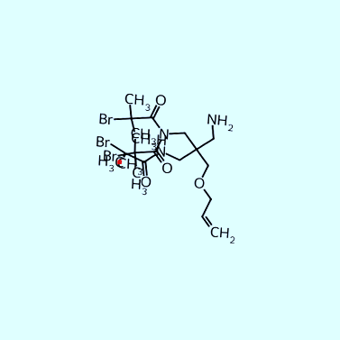 C=CCOCC(CN)(CNC(=O)C(C)(C)Br)CN(C(=O)C(C)(C)Br)C(=O)C(C)(C)Br